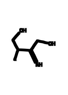 [CH2]C(CO)C(=N)CO